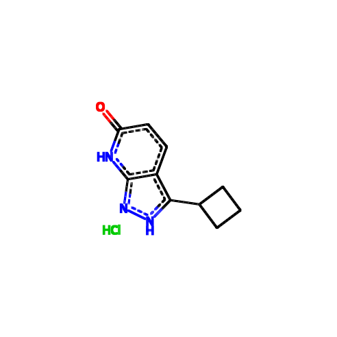 Cl.O=c1ccc2c(C3CCC3)[nH]nc2[nH]1